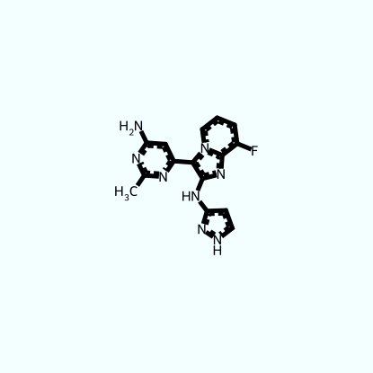 Cc1nc(N)cc(-c2c(Nc3cc[nH]n3)nc3c(F)cccn23)n1